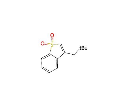 CC(C)(C)CC1=CS(=O)(=O)c2ccccc21